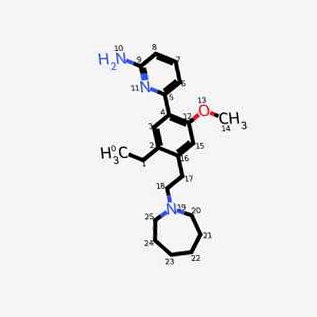 CCc1cc(-c2cccc(N)n2)c(OC)cc1CCN1CCCCCC1